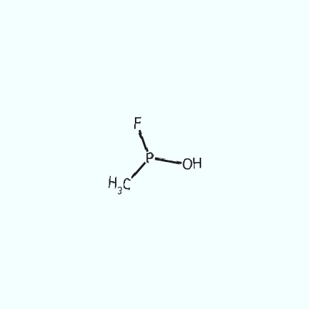 CP(O)F